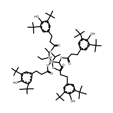 CC[SH](CC)[SH](OC(=O)CCc1cc(C(C)(C)C)c(O)c(C(C)(C)C)c1)(OC(=O)CCc1cc(C(C)(C)C)c(O)c(C(C)(C)C)c1)(C(C)OC(=O)CCc1cc(C(C)(C)C)c(O)c(C(C)(C)C)c1)C(C)OC(=O)CCc1cc(C(C)(C)C)c(O)c(C(C)(C)C)c1